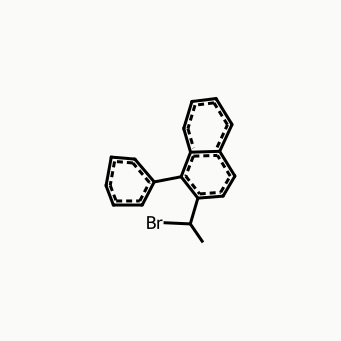 CC(Br)c1ccc2ccccc2c1-c1ccccc1